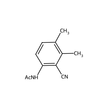 CC(=O)Nc1ccc(C)c(C)c1C#N